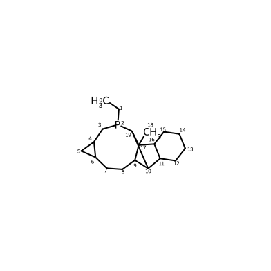 CCP1CC2CC2CCC2C3C4CCCCC4C2(C)C31